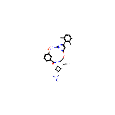 Cc1cccc(C)c1-c1cc2nc(n1)NS(=O)(=O)c1cccc(c1)C(=O)N([C@H]1C[C@@H](CN(C)C)C1)[C@H](CC(C)C)CO2